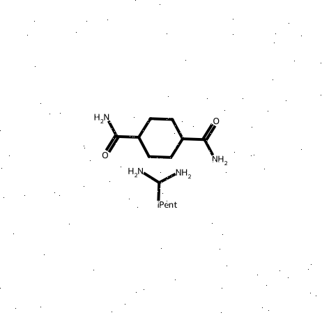 CCCC(C)C(N)N.NC(=O)C1CCC(C(N)=O)CC1